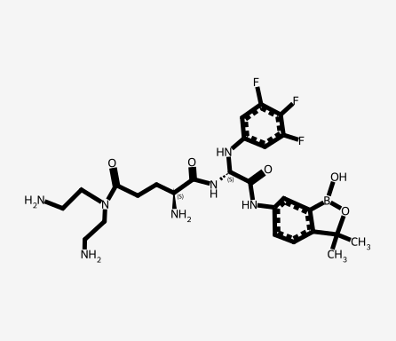 CC1(C)OB(O)c2cc(NC(=O)[C@H](NC(=O)[C@@H](N)CCC(=O)N(CCN)CCN)Nc3cc(F)c(F)c(F)c3)ccc21